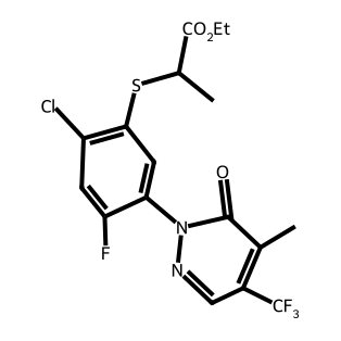 CCOC(=O)C(C)Sc1cc(-n2ncc(C(F)(F)F)c(C)c2=O)c(F)cc1Cl